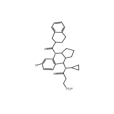 O=C(O)CCC(=O)N(C1CC1)C1c2ccc(Cl)cc2N(C(=O)C2CCc3ccccc3C2)C2CCCC21